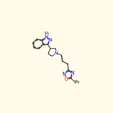 CC(C)c1nc(CCCN2CCC(c3n[nH]c4ccccc34)C2)no1